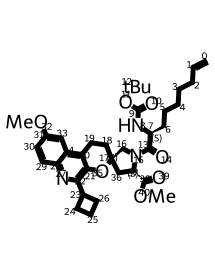 C=CCCCCC[C@H](NC(=O)OC(C)(C)C)C(=O)N1C[C@@]2(CCc3c(c(C4CCC4)nc4ccc(OC)cc34)O2)C[C@H]1C(=O)OC